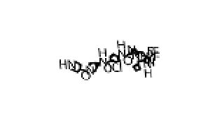 O=C(Nc1ccc(C(=O)NC2C3CN(C(=O)C4CCNCC4)CC32)c(Cl)c1)c1ncc(Cc2c(C(F)(F)F)n[nH]c2CC2CCC2)[nH]1